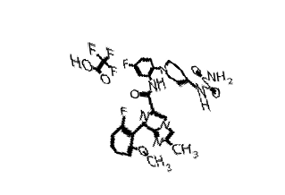 COc1cccc(F)c1-c1nc(C(=O)Nc2cc(F)ccc2N2CCC(NS(N)(=O)=O)CC2)cn2cc(C)nc12.O=C(O)C(F)(F)F